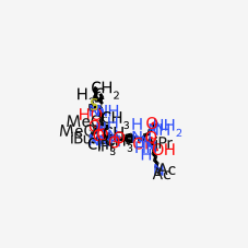 C=CC/C=C\C(=C/C)C[C@H](NC(O)[C@H](C)[C@@H](OC)[C@@H]1CCCN1C(=O)C[C@@H](OC)[C@H]([C@@H](C)CC)N(C)C(=O)[C@@H](NC(=O)C(C)(C)NC(=O)OCc1ccc(N/C(O)=C(\CCCNC(N)=O)NC(=O)[C@@H](NC(O)CCCCCN(C(C)=O)C(C)=O)C(C)C)cc1)C(C)C)c1nccs1